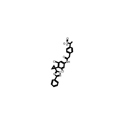 CC(c1ccc(CC(=O)Nc2cc(Cl)c(C3(c4nc(-c5ccccc5)no4)CC3)c(Cl)c2)cc1)[SH](=O)=O